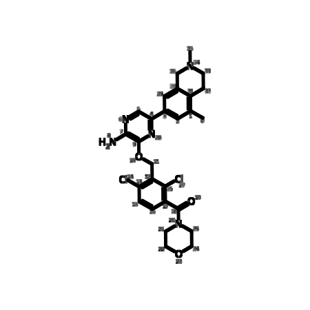 Cc1cc(-c2cnc(N)c(OCc3c(Cl)ccc(C(=O)N4CCOCC4)c3Cl)n2)cc2c1CCN(C)C2